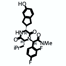 CNC(=O)[C@@H](c1ccc(F)cc1F)N1C(=O)[C@@H](C2Cc3ccc(O)cc3C2)NC(=O)[C@H]1CC(C)C